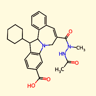 CC(=O)NN(C)C(=O)C1=Cc2ccccc2C2C(C3CCCCC3)c3ccc(C(=O)O)cc3N2C1